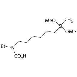 CCN(CCCCCC[Si](C)(OC)OC)C(=O)O